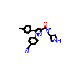 Cc1ccc(-c2cc(C(=O)N(C)CC3CCNC3)nn2-c2ccc(C#N)cc2)cc1